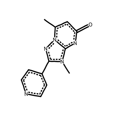 Cc1cc(=O)nc2n(C)c(-c3ccncc3)nn12